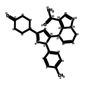 Cc1ccc(-n2nc(C3CCC(=O)CC3)cc2N2C=CCn3ncc(C(N)=O)c32)cc1